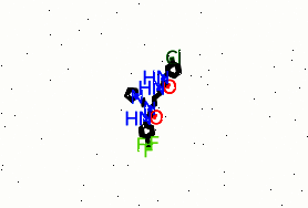 O=C(NCCCN(CCN1CCCC1)C(=O)Nc1ccc(C(F)(F)F)cc1)Nc1cccc(Cl)c1